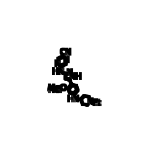 CCN1CCC(Nc2ccc(-c3cc(Nc4cnc(C#N)cn4)n[nH]3)c(OC)c2)CC1.Cl